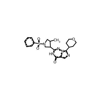 CC1CN(S(=O)(=O)c2ccccc2)CC1c1nn2c(C3CCOCC3)ncc2c(=O)[nH]1